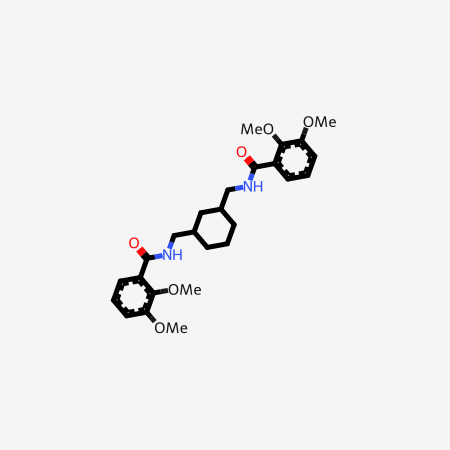 COc1cccc(C(=O)NCC2CCCC(CNC(=O)c3cccc(OC)c3OC)C2)c1OC